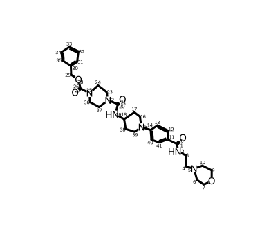 O=C(NCCN1CCOCC1)c1ccc(N2CCC(NC(=O)N3CCN(C(=O)OCc4ccccc4)CC3)CC2)cc1